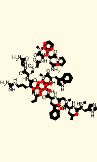 CCCC[C@@H](C(=O)N(C)[C@@H](CCCC)C(=O)N[C@@H](CCCNC(=N)N)C(=O)N[C@@H](C[S+]([O-])CC(=O)N[C@@H](Cc1ccccc1)C(=O)N(C)[C@@H](C)C(=O)N[C@@H](CC(N)=O)C(=O)N1CCCC1)C(=O)NCC(N)=O)N(C)C(=O)[C@H](Cc1c[nH]c2ccccc12)NC(=O)[C@H](CO)NC(=O)[C@H](Cc1c[nH]c2ccccc12)NC(=O)CN(C)C(=O)[C@H](CC(C)C)NC(=O)[C@H](Cc1cnc[nH]1)NC